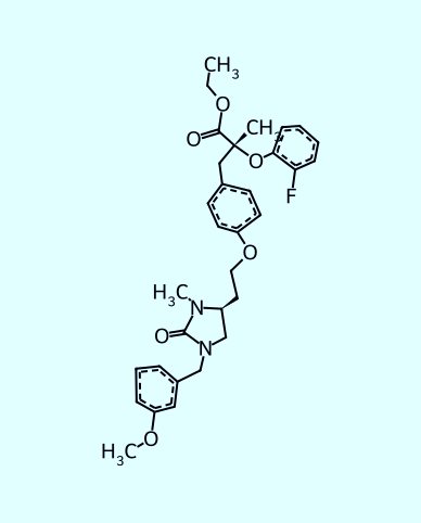 CCOC(=O)[C@@](C)(Cc1ccc(OCC[C@H]2CN(Cc3cccc(OC)c3)C(=O)N2C)cc1)Oc1ccccc1F